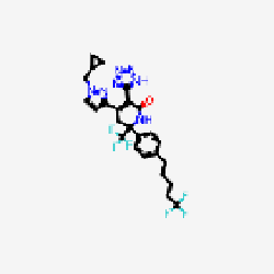 O=C1NC(c2ccc(CCCCC(F)(F)F)cc2)(C(F)(F)F)CC(c2ccn(CC3CC3)n2)=C1c1nnn[nH]1